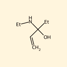 C=CC(O)(CC)NCC